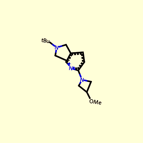 COC1CN(c2ccc3c(n2)CN(C(C)(C)C)C3)C1